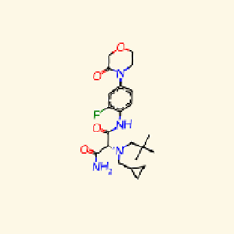 CC(C)(C)CN(CC1CC1)[C@H](C(N)=O)C(=O)Nc1ccc(N2CCOCC2=O)cc1F